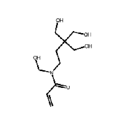 C=CC(=O)N(CO)CCC(CO)(CO)CO